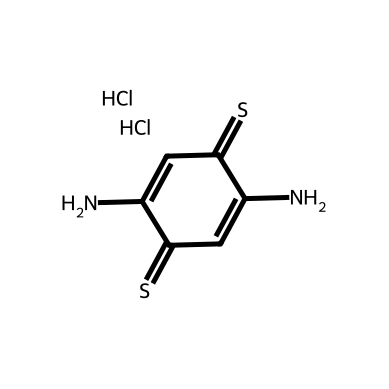 Cl.Cl.NC1=CC(=S)C(N)=CC1=S